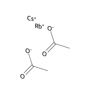 CC(=O)[O-].CC(=O)[O-].[Cs+].[Rb+]